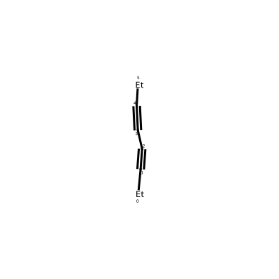 CCC#CC#CCC